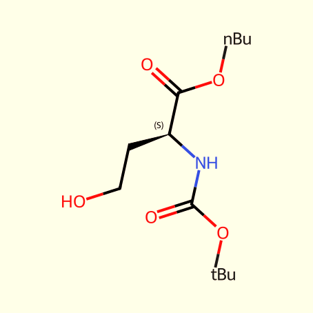 CCCCOC(=O)[C@H](CCO)NC(=O)OC(C)(C)C